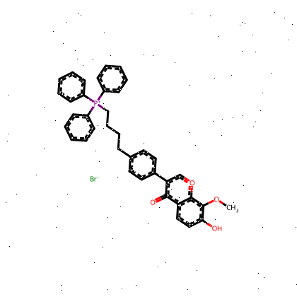 COc1c(O)ccc2c(=O)c(-c3ccc(CCCC[P+](c4ccccc4)(c4ccccc4)c4ccccc4)cc3)coc12.[Br-]